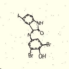 O=C1Nc2ccc(I)cc2/C1=N/c1cc(Br)c(O)c(Br)c1